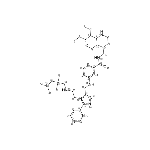 CCCC(CC)C1NCCC(CNC(=O)c2cccc(NCc3nnc(-c4ccncn4)n3CCNCC(C)(C)CN(C)C)c2)C1CC